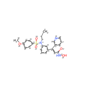 CCCN(c1cccc(C(=CC(=O)NO)c2cccnc2)c1)S(=O)(=O)c1ccc(OC)cc1